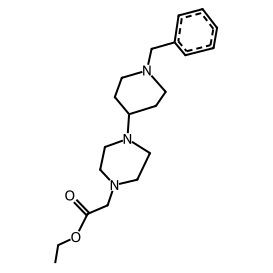 CCOC(=O)CN1CCN(C2CCN(Cc3ccccc3)CC2)CC1